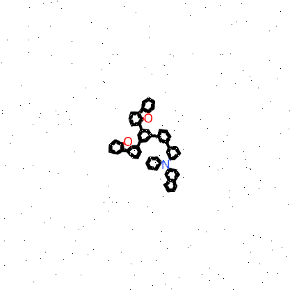 c1ccc(N(c2cccc(-c3cccc(-c4cc(-c5cccc6c5oc5ccccc56)cc(-c5cccc6c5oc5ccccc56)c4)c3)c2)c2ccc3ccccc3c2)cc1